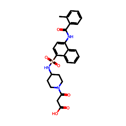 Cc1ccccc1C(=O)Nc1ccc(S(=O)(=O)NC2CCN(C(=O)CC(=O)O)CC2)c2ccccc12